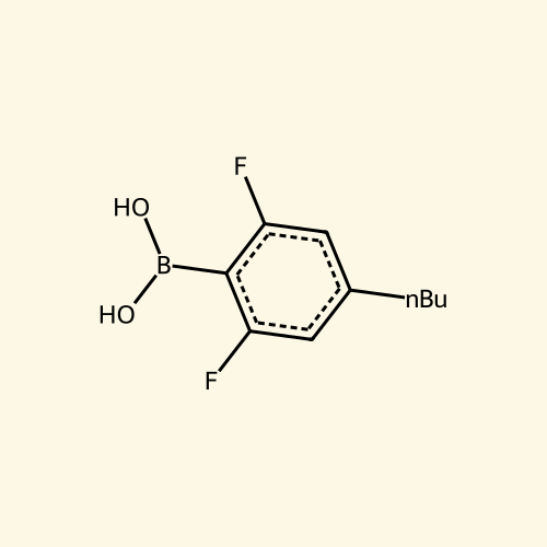 CCCCc1cc(F)c(B(O)O)c(F)c1